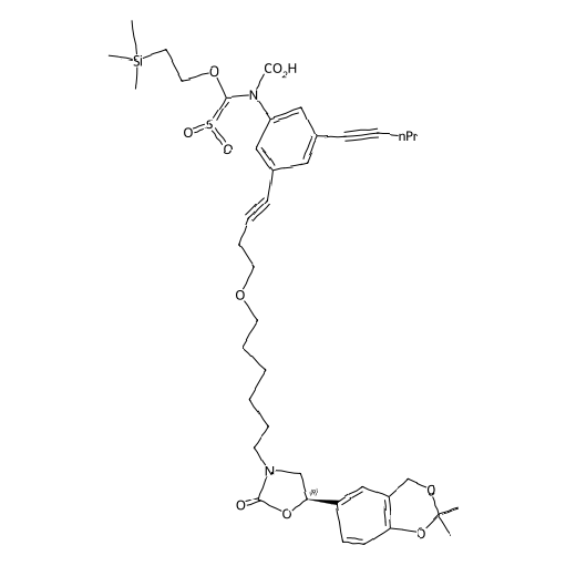 CCCC#Cc1cc(C#CCCOCCCCCCN2C[C@@H](c3ccc4c(c3)COC(C)(C)O4)OC2=O)cc(N(C(=O)O)C(OCC[Si](C)(C)C)=S(=O)=O)c1